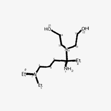 CCN(CC)CCCC(N)(CC)N(CCO)CCO